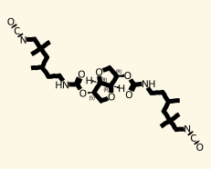 CC(CCNC(=O)O[C@H]1CO[C@H]2[C@@H]1OC[C@H]2OC(=O)NCCC(C)CC(C)(C)CN=C=O)CC(C)(C)CN=C=O